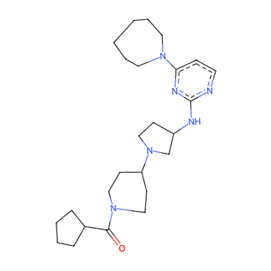 O=C(C1CCCC1)N1CCC(N2CCC(Nc3nccc(N4CCCCCC4)n3)C2)CC1